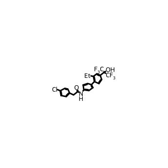 CCc1cc(C(O)(C(F)(F)F)C(F)(F)F)ccc1-c1ccc(NC(=O)Cc2ccc(Cl)cc2)cc1